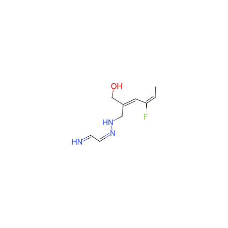 C/C=C(F)\C=C(\CO)CN/N=C\C=N